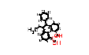 CCC(=C(c1ccccc1)c1ccccc1)c1cccc(B(O)O)c1